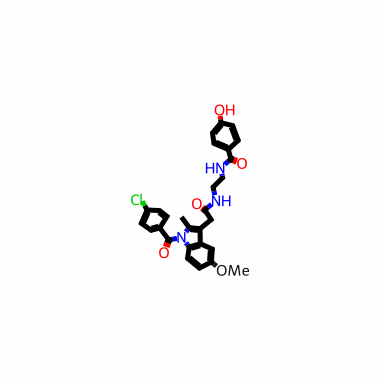 COc1ccc2c(c1)c(CC(=O)NCCNC(=O)c1ccc(O)cc1)c(C)n2C(=O)c1ccc(Cl)cc1